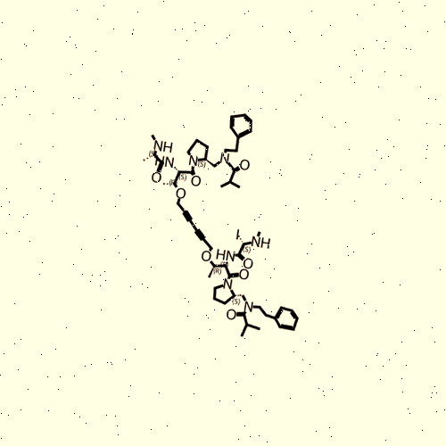 CN[C@@H](C)C(=O)N[C@H](C(=O)N1CCC[C@H]1CN(CCc1ccccc1)C(=O)C(C)C)[C@@H](C)OCC#CC#CCO[C@H](C)[C@H](NC(=O)[C@H](I)NC)C(=O)N1CCC[C@H]1CN(CCc1ccccc1)C(=O)C(C)C